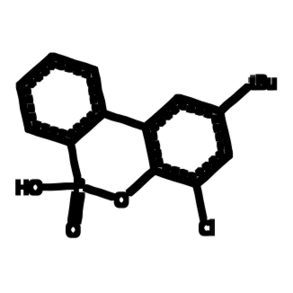 CC(C)(C)c1cc(Cl)c2c(c1)-c1ccccc1P(=O)(O)O2